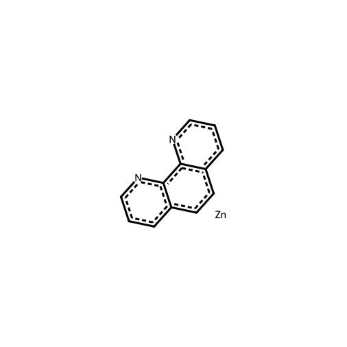 [Zn].c1cnc2c(c1)ccc1cccnc12